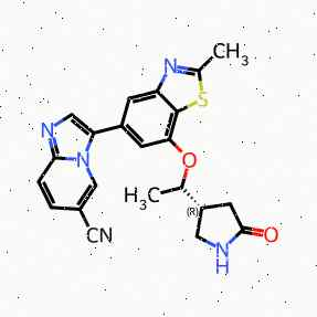 Cc1nc2cc(-c3cnc4ccc(C#N)cn34)cc(OC(C)[C@H]3CNC(=O)C3)c2s1